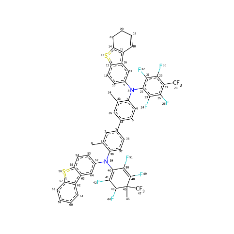 Cc1cc(-c2ccc(N(c3ccc4sc5c(c4c3)C=CCC5)c3c(F)c(F)c(C(F)(F)F)c(F)c3F)c(C)c2)ccc1N(C1=C(F)C(F)C(C)(C(F)(F)F)C(F)=C1F)c1ccc2sc3ccccc3c2c1